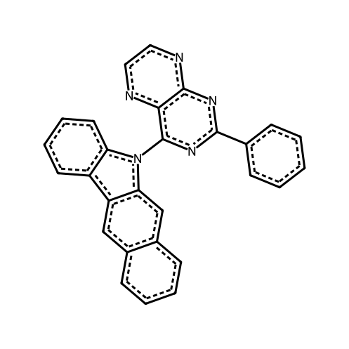 c1ccc(-c2nc(-n3c4ccccc4c4cc5ccccc5cc43)c3nccnc3n2)cc1